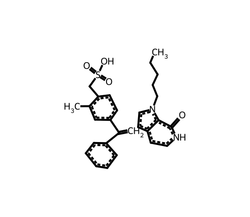 C=C(c1ccccc1)c1ccc(CS(=O)(=O)O)c(C)c1.CCCCCn1ccc2cc[nH]c(=O)c21